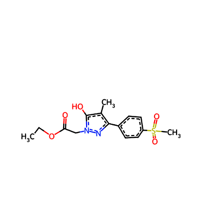 CCOC(=O)Cn1nc(-c2ccc(S(C)(=O)=O)cc2)c(C)c1O